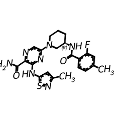 Cc1ccc(C(=O)N[C@@H]2CCCN(c3cnc(C(N)=O)c(Nc4cc(C)ns4)n3)C2)c(F)c1